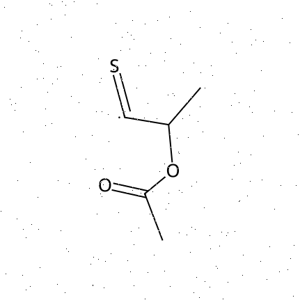 CC(=O)OC(C)[C]=S